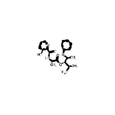 CC(C)[C@@H](OC(=O)[C@H](C)NC(=O)c1ncccc1O)[C@H](C)Oc1ccccc1